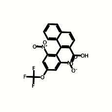 O=C(O)c1ccc2ccccc2c1-c1c([N+](=O)[O-])cc(OC(F)(F)F)cc1[N+](=O)[O-]